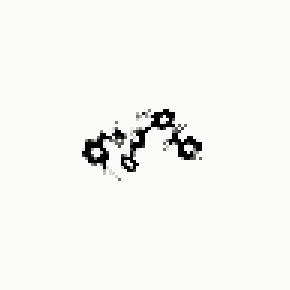 Cc1cccc(CNC(=O)n2nc(-c3cc(NC(=O)c4ccncc4)ccc3O)cc2C2CCCC2)c1